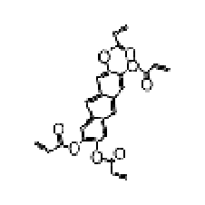 C=CC(=O)Oc1cc2cc3cc(OC(=O)C=C)c(OC(=O)C=C)cc3cc2cc1OC(=O)C=C